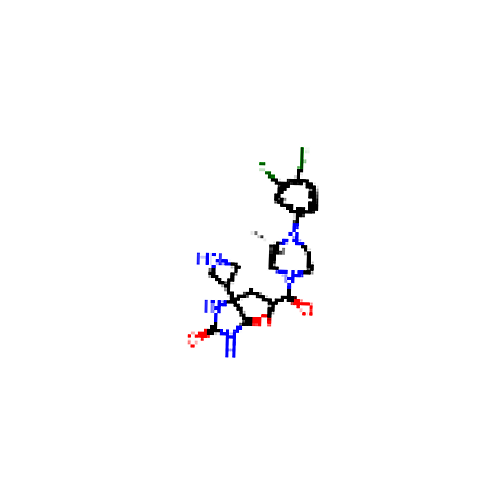 CC(CC1(C2CNC2)NC(=O)NC1=O)C(=O)N1CCN(c2ccc(F)c(F)c2)[C@@H](C)C1